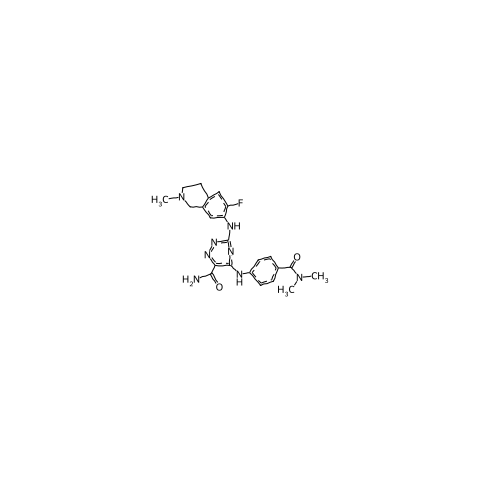 CN1CCc2cc(F)c(Nc3nnc(C(N)=O)c(Nc4ccc(C(=O)N(C)C)cc4)n3)cc2C1